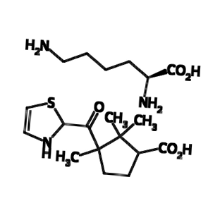 CC1(C(=O)C2NC=CS2)CCC(C(=O)O)C1(C)C.NCCCC[C@H](N)C(=O)O